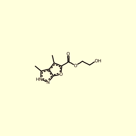 Cc1[nH]nc2oc(C(=O)OCCO)c(C)c12